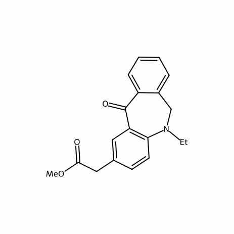 CCN1Cc2ccccc2C(=O)c2cc(CC(=O)OC)ccc21